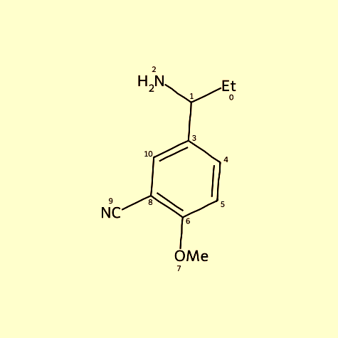 CCC(N)c1ccc(OC)c(C#N)c1